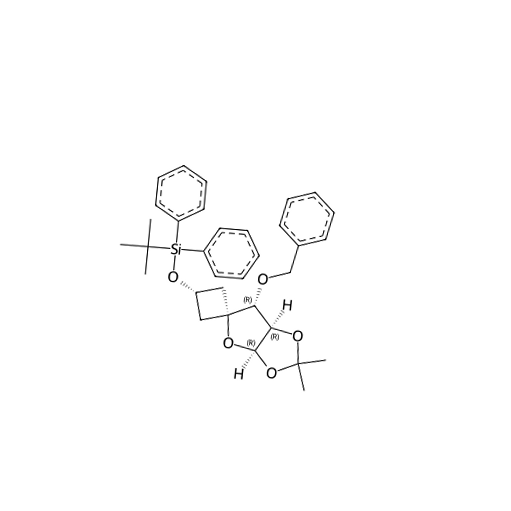 CC1(C)O[C@H]2O[C@]3(C[C@@H](O[Si](c4ccccc4)(c4ccccc4)C(C)(C)C)C3)[C@H](OCc3ccccc3)[C@H]2O1